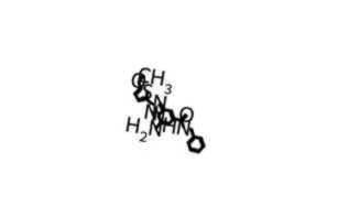 COc1ccc(-c2nc3cc(C(=O)NCc4ccccc4)cc(N)n3n2)s1